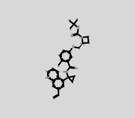 C=Cc1cc(C2(NC(=O)c3cc(OC[C@@H]4CCN4C(=O)OC(C)(C)C)ccc3C)CC2)c2cccnc2c1